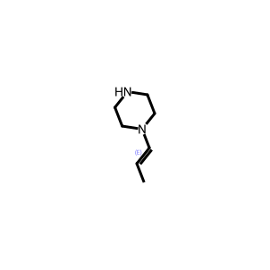 C/C=C/N1CCNCC1